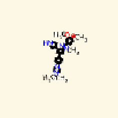 COc1ccc(-c2nc3c(C4CCNCC4)cc(-c4ccc(N5CCN(C(C)C)CC5)cc4)cc3n2C)cc1OC